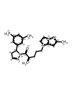 C=C(CCCn1ccn2nc(C)cc12)C(=O)N1N=CCC1c1cc(C)cc(P)c1